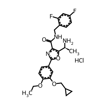 CCOc1ccc(-c2nc(C(=O)NCc3ccc(F)cc3F)c([C@H](C)N)o2)cc1OCC1CC1.Cl